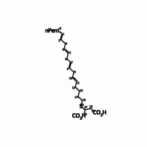 CCCCCC=CCC=CCC=CCC=CCCCCSC(CC(=O)O)C(=O)O